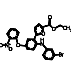 CCOC(=O)c1ccc(-c2cc(Oc3ccccc3[N+](=O)[O-])ccc2Nc2cccc(Br)c2)o1